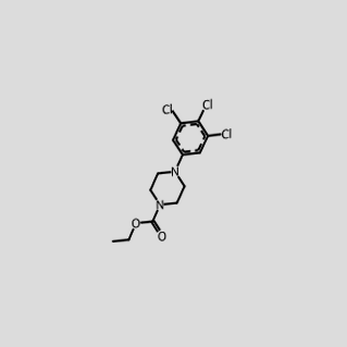 CCOC(=O)N1CCN(c2cc(Cl)c(Cl)c(Cl)c2)CC1